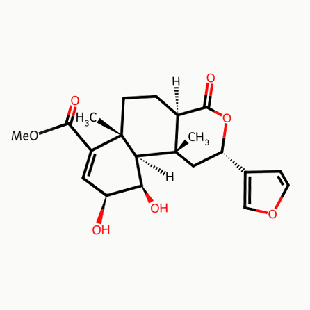 COC(=O)C1=C[C@H](O)[C@H](O)[C@@H]2[C@@]3(C)C[C@@H](c4ccoc4)OC(=O)[C@@H]3CC[C@@]12C